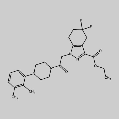 CCOC(=O)c1nn(CC(=O)N2CCN(c3cccc(C)c3C)CC2)c2c1CC(F)(F)CC2